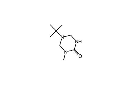 CN1CN(C(C)(C)C)CNC1=O